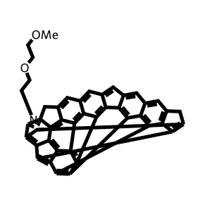 COCCOCCN1CC2C3=c4c5c6c7c(cc8cc9cc%10cc%11cc%12c%13c(c4c4c5c5c7c8c7c9c%10c8c%11c%13c4c8c75)=C(C3)C%12)CC62C1